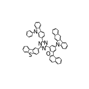 c1ccc(-n2c3ccccc3c3ccc(-c4nc(-c5ccc6sc7ccccc7c6c5)nc(-c5cc(-n6c7ccccc7c7cc8ccccc8cc76)cc6c5oc5ccc7ccccc7c56)n4)cc32)cc1